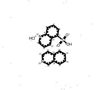 Cl.O=S(=O)(O)c1cccc2ncccc12.c1ccc2cnccc2c1